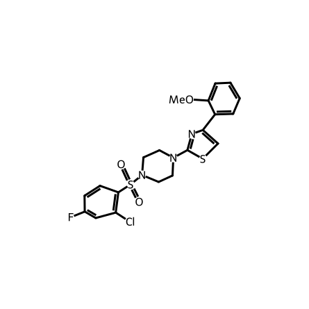 COc1ccccc1-c1csc(N2CCN(S(=O)(=O)c3ccc(F)cc3Cl)CC2)n1